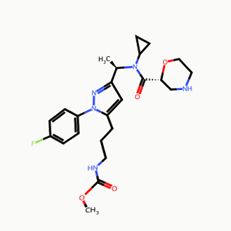 COC(=O)NCCCc1cc([C@@H](C)N(C(=O)[C@H]2CNCCO2)C2CC2)nn1-c1ccc(F)cc1